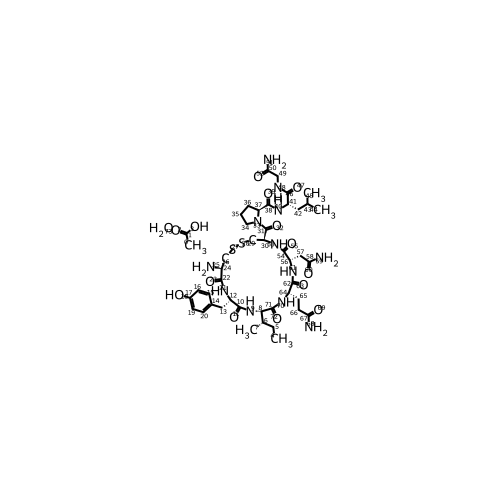 CC(=O)O.CC[C@H](C)[C@@H]1NC(=O)[C@H](Cc2ccc(O)cc2)NC(=O)[C@@H](N)CSSC[C@@H](C(=O)N2CCC[C@H]2C(=O)N[C@@H](CC(C)C)C(=O)NCC(N)=O)NC(=O)[C@H](CC(N)=O)NC(=O)[C@H](CCC(N)=O)NC1=O.O